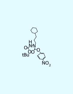 CC(C)(C)OC(=O)NN(CCCC1CCCCC1)C(=O)Oc1ccc([N+](=O)[O-])cc1